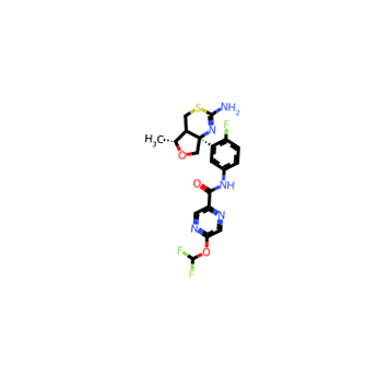 C[C@H]1OC[C@]2(c3cc(NC(=O)c4cnc(OC(F)F)cn4)ccc3F)N=C(N)SCC12